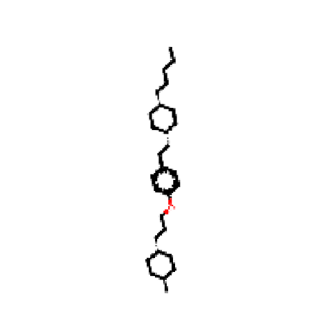 CCCCC[C@H]1CC[C@H](CCc2ccc(OCCC[C@H]3CC[C@H](C)CC3)cc2)CC1